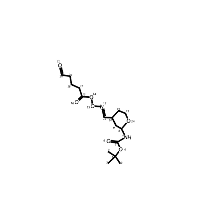 CC(C)(C)OC(=O)NC1CC(C=NOOC(=O)CCCC=O)CCO1